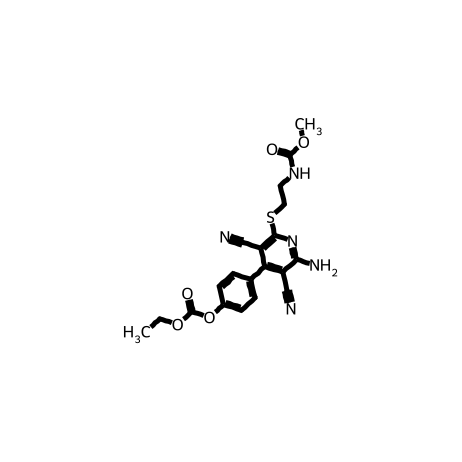 CCOC(=O)Oc1ccc(-c2c(C#N)c(N)nc(SCCNC(=O)OC)c2C#N)cc1